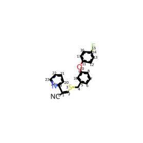 N#CC(=CSCc1cccc(Oc2ccc(F)cc2)c1)c1ccccn1